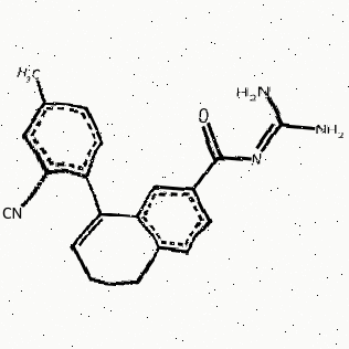 [C-]#[N+]c1cc(C)ccc1C1=CCCc2ccc(C(=O)N=C(N)N)cc21